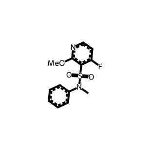 COc1nccc(F)c1S(=O)(=O)N(C)c1ccccc1